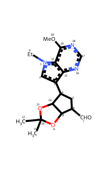 CCn1cc(C2CC(C=O)C3OC(C)(C)OC23)c2ncnc(OC)c21